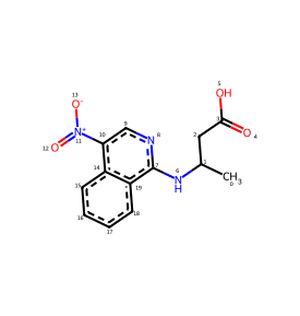 CC(CC(=O)O)Nc1ncc([N+](=O)[O-])c2ccccc12